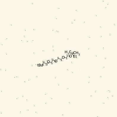 CCC(C)(C)OCCOCCOCCOCCC(C)(C)C